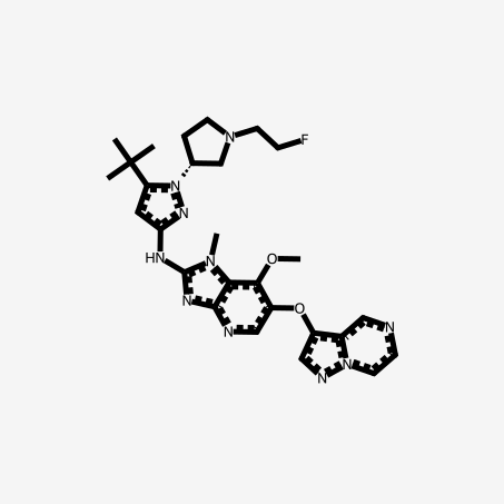 COc1c(Oc2cnn3ccncc23)cnc2nc(Nc3cc(C(C)(C)C)n([C@@H]4CCN(CCF)C4)n3)n(C)c12